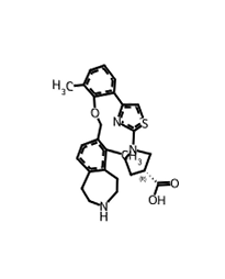 Cc1cccc(-c2csc(N3CC[C@@H](C(=O)O)C3)n2)c1OCc1ccc2c(c1C)CCNCC2